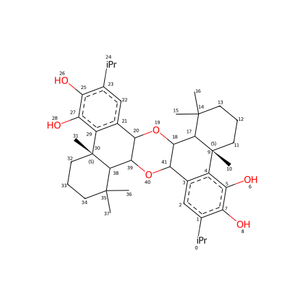 CC(C)c1cc2c(c(O)c1O)[C@@]1(C)CCCC(C)(C)C1C1OC3c4cc(C(C)C)c(O)c(O)c4[C@@]4(C)CCCC(C)(C)C4C3OC21